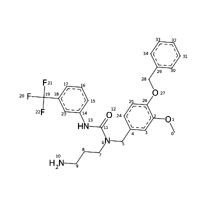 COc1cc(CN(CCCN)C(=O)Nc2cccc(C(F)(F)F)c2)ccc1OCc1ccccc1